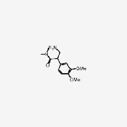 COc1ccc(C(CN)C(=O)N(C)C)cc1OC